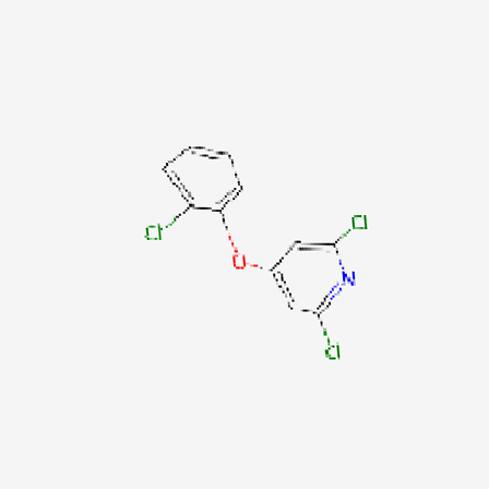 Clc1cc(Oc2ccccc2Cl)cc(Cl)n1